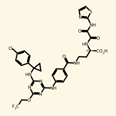 O=C(Nc1nccs1)C(=O)N[C@H](CCNC(=O)c1ccc(Nc2nc(NC3(c4ccc(Cl)cc4)CC3)nc(OCC(F)(F)F)n2)cc1)C(=O)O